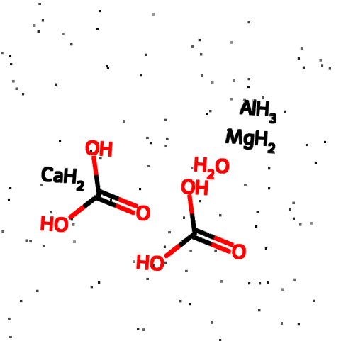 O.O=C(O)O.O=C(O)O.[AlH3].[CaH2].[MgH2]